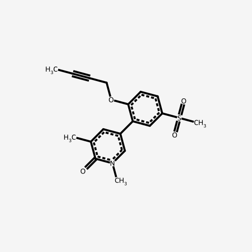 CC#CCOc1ccc(S(C)(=O)=O)cc1-c1cc(C)c(=O)n(C)c1